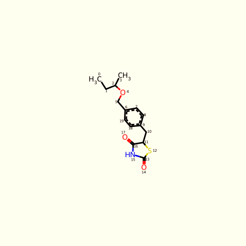 CCC(C)OCc1ccc(CC2SC(=O)NC2=O)cc1